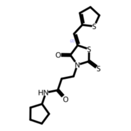 O=C(CCN1C(=O)/C(=C/C2=CCCS2)SC1=S)NC1CCCC1